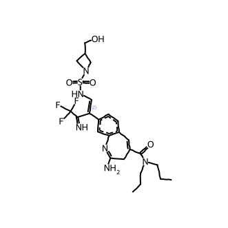 CCCN(CCC)C(=O)C1=Cc2ccc(/C(=C/NS(=O)(=O)N3CC(CO)C3)C(=N)C(F)(F)F)cc2N=C(N)C1